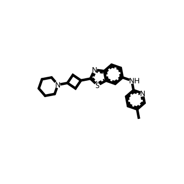 Cc1ccc(Nc2ccc3nc(C4CC(N5CCCCC5)C4)sc3c2)nc1